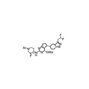 COc1nc(N[C@@H]2CCN(C(C)=O)C[C@@H]2F)nn2ccc(-c3ccc4nnn(CC(F)F)c4c3)c12